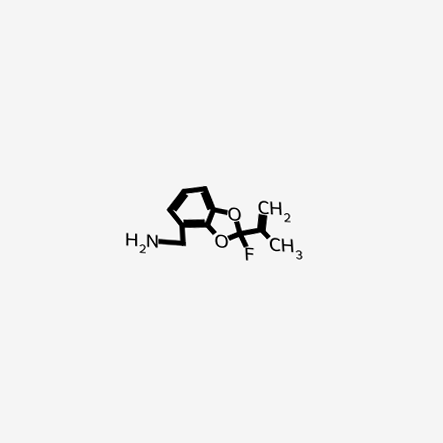 C=C(C)C1(F)Oc2cccc(CN)c2O1